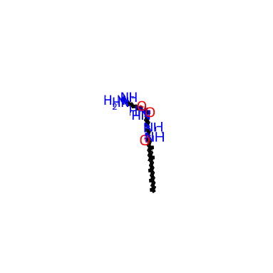 CC(C)=CCC/C(C)=C/CC/C(C)=C/CC/C=C(\C)CC/C=C(\C)CCC(=O)NCCCNCCCCNC(=O)C(C)NC(=O)CCCCCCNC(=N)N